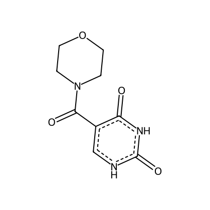 O=C(c1c[nH]c(=O)[nH]c1=O)N1CCOCC1